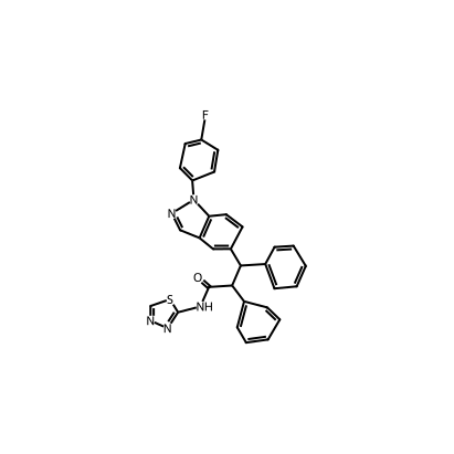 O=C(Nc1nncs1)C(c1ccccc1)C(c1ccccc1)c1ccc2c(cnn2-c2ccc(F)cc2)c1